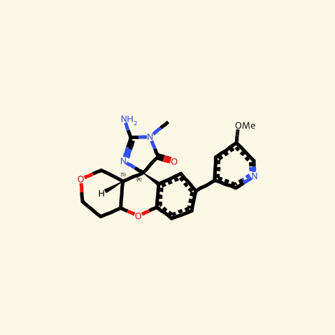 COc1cncc(-c2ccc3c(c2)[C@]2(N=C(N)N(C)C2=O)[C@H]2COCCC2O3)c1